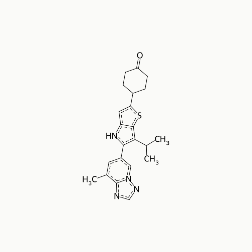 Cc1cc(-c2[nH]c3cc(C4CCC(=O)CC4)sc3c2C(C)C)cn2ncnc12